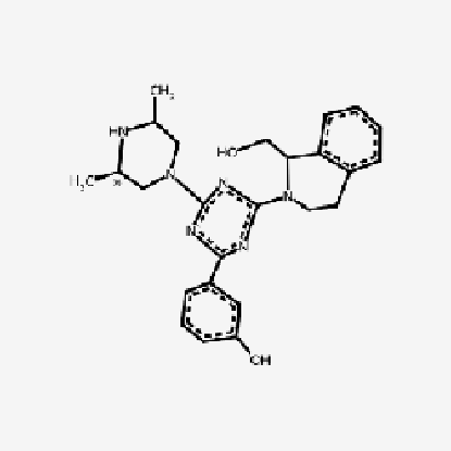 CC1CN(c2nc(-c3cccc(O)c3)nc(N3CCc4ccccc4C3CO)n2)C[C@@H](C)N1